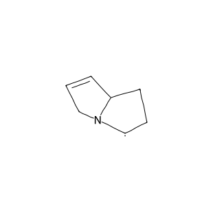 [CH]1CCC2C=CCN12